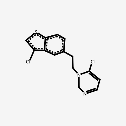 ClC1=CC=NCN1CCc1ccc2scc(Cl)c2c1